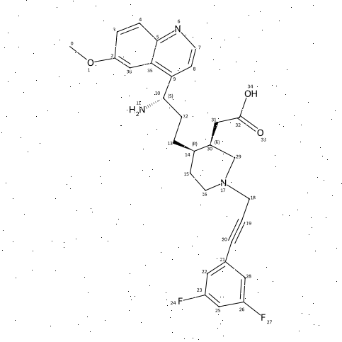 COc1ccc2nccc([C@@H](N)CC[C@@H]3CCN(CC#Cc4cc(F)cc(F)c4)C[C@@H]3CC(=O)O)c2c1